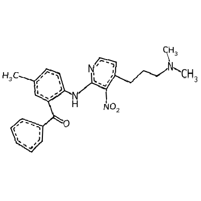 Cc1ccc(Nc2nccc(CCCN(C)C)c2[N+](=O)[O-])c(C(=O)c2ccccc2)c1